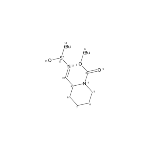 CC(C)(C)OC(=O)N1CCCCC1C=N[S+]([O-])C(C)(C)C